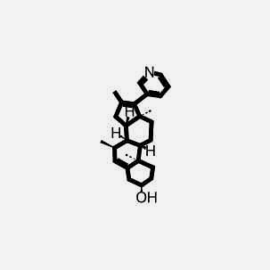 CC1=C(c2cccnc2)[C@@]2(C)CC[C@H]3[C@@H]([C@H](C)C=C4C[C@@H](O)CC[C@@]43C)[C@@H]2C1